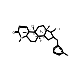 CN1C(=O)C=C[C@@]2(C)C1CC[C@@H]1[C@H]2CC[C@]2(C)C(O)C(Cc3cccc(F)c3)C[C@@H]12